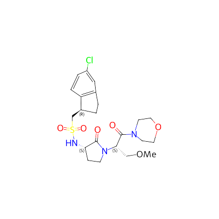 COC[C@@H](C(=O)N1CCOCC1)N1CC[C@H](NS(=O)(=O)C[C@@H]2CCc3cc(Cl)ccc32)C1=O